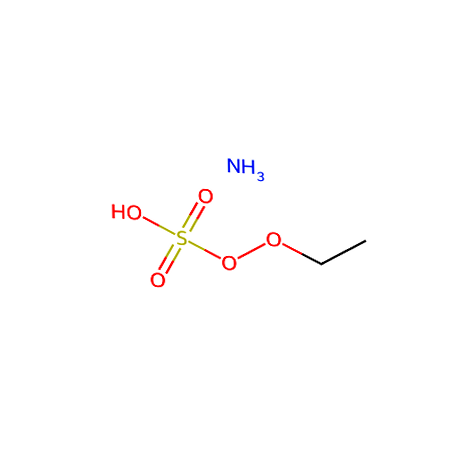 CCOOS(=O)(=O)O.N